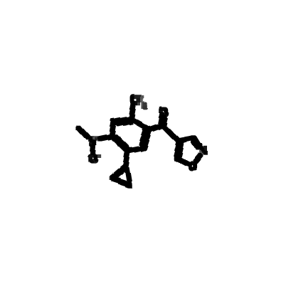 C[S+]([O-])c1cc(C(F)(F)F)c(C(=O)c2cnoc2)cc1C1CC1